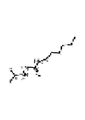 CCCCCCNC(=O)NNC(C)C